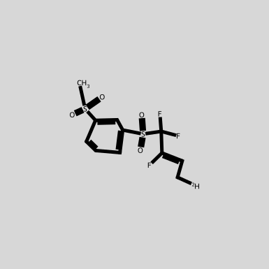 [2H]CC=C(F)C(F)(F)S(=O)(=O)c1cccc(S(C)(=O)=O)c1